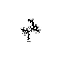 COCCCn1c(=NC(=O)c2cc(C(F)(F)F)ccc2C=CC(C)(C)O)cc(C(C)(C)C)n1C